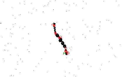 C=C(C)C(=O)OCCCCCCOc1ccc(C(=O)Oc2ccc(-c3ccc(-c4ccc(OCCOC(=O)C(=C)F)cc4)cc3)cc2)cc1